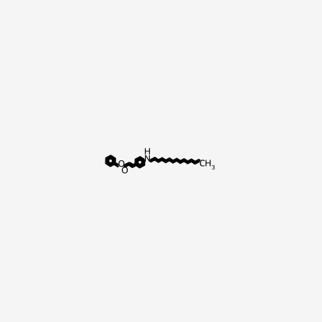 CCCCCCCCCCCCCCCNc1ccc(C=CC(=O)OCc2ccccc2)cc1